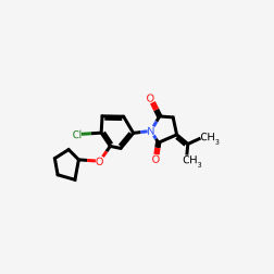 CC(C)=C1CC(=O)N(c2ccc(Cl)c(OC3CCCC3)c2)C1=O